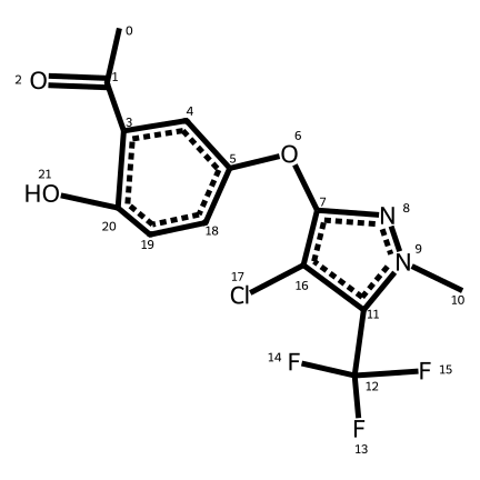 CC(=O)c1cc(Oc2nn(C)c(C(F)(F)F)c2Cl)ccc1O